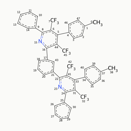 Cc1ccc(-c2c(C(F)(F)F)c(-c3ccccc3)nc(-c3cccc(-c4nc(-c5ccccc5)c(C(F)(F)F)c(-c5ccc(C)cc5)c4C(F)(F)F)c3)c2C(F)(F)F)cc1